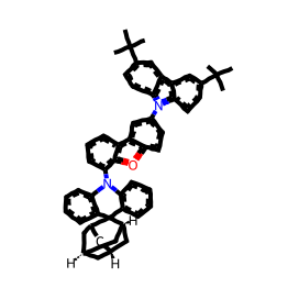 CC(C)(C)c1ccc2c(c1)c1cc(C(C)(C)C)ccc1n2-c1ccc2oc3c(N4c5ccccc5C5(c6ccccc64)C4C[C@H]6C[C@@H](C4)C[C@@H]5C6)cccc3c2c1